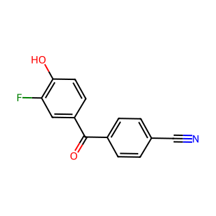 N#Cc1ccc(C(=O)c2ccc(O)c(F)c2)cc1